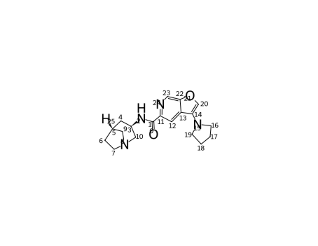 O=C(N[C@@H]1C[C@H]2CCN(C2)C1)c1cc2c(N3CCCC3)coc2cn1